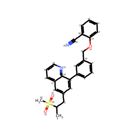 CC(Cc1cc(-c2cccc(COc3ccccc3C#N)c2)c2ncccc2c1)S(C)(=O)=O